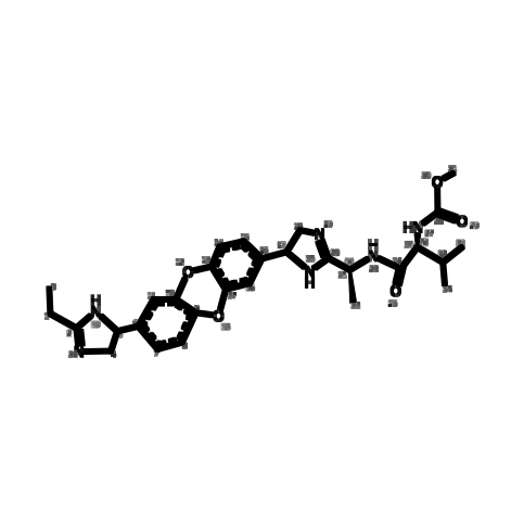 CCC1=NCC(c2ccc3c(c2)Oc2ccc(C4CN=C([C@H](C)NC(=O)[C@@H](NC(=O)OC)C(C)C)N4)cc2O3)N1